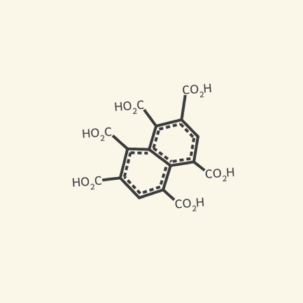 O=C(O)c1cc(C(=O)O)c2c(C(=O)O)cc(C(=O)O)c(C(=O)O)c2c1C(=O)O